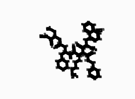 COC(=O)C(CC(C)C)C[PH](=O)OC(CC1CCCCC1)NC(=O)[C@H](CCCCN)N(C(=O)OCc1ccccc1)C(=O)C(N)Cc1cccc2ccccc12.Cl